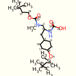 CN(CC(CC1CCC(O[Si](C)(C)C(C)(C)C)CC1)NC(=O)O)C(=O)OCC[Si](C)(C)C